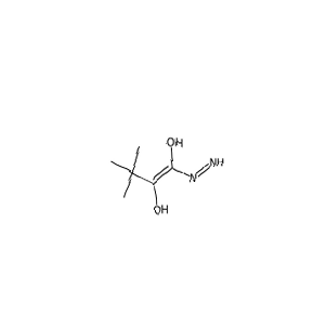 CC(C)(C)/C(O)=C(\O)N=N